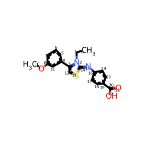 CCn1c(-c2cccc(OC)c2)csc1=Nc1ccc(C(=O)O)cc1